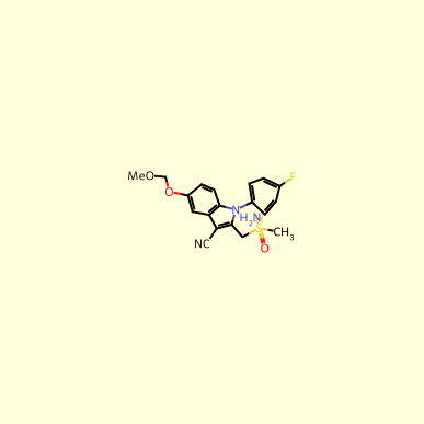 COCOc1ccc2c(c1)c(C#N)c(C[SH](C)(N)=O)n2-c1ccc(F)cc1